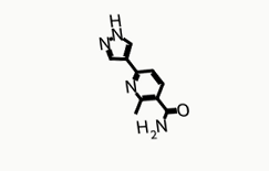 Cc1nc(-c2cn[nH]c2)ccc1C(N)=O